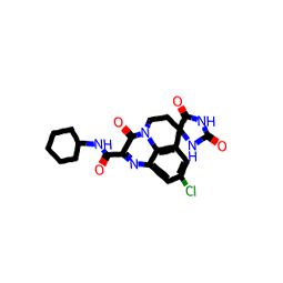 O=C1NC(=O)C2(CCn3c(=O)c(C(=O)NC4CCCCC4)nc4cc(Cl)cc2c43)N1